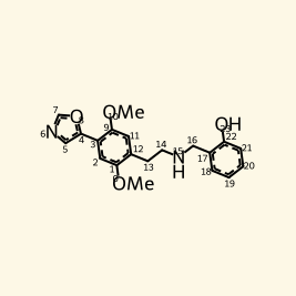 COc1cc(-c2cnco2)c(OC)cc1CCNCc1ccccc1O